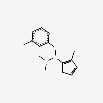 CC1=[C]([Ti]([O]c2cccc(C)c2)[SiH](C)C)CC=C1.Cl.Cl